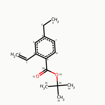 C=Cc1cc(CC)ccc1C(=O)OC(C)(C)C